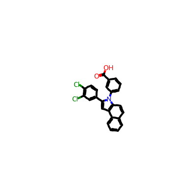 O=C(O)c1cccc(-n2c(-c3ccc(Cl)c(Cl)c3)cc3c4ccccc4ccc32)c1